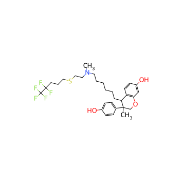 CN(CCCCCCC1c2ccc(O)cc2OCC1(C)c1ccc(O)cc1)CCSCCCC(F)(F)C(F)(F)F